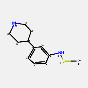 CC(C)SNc1cccc(C2CCNCC2)c1